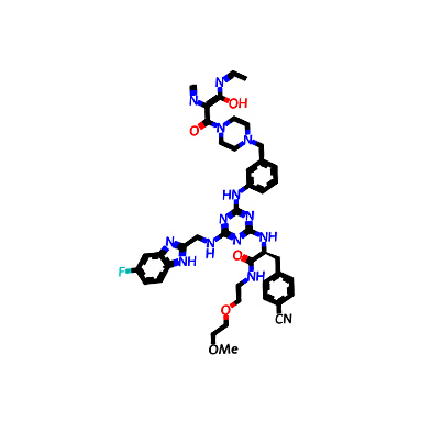 C=N/C(C(=O)N1CCN(Cc2cccc(Nc3nc(NCc4nc5cc(F)ccc5[nH]4)nc(N[C@@H](Cc4ccc(C#N)cc4)C(=O)NCCOCCOC)n3)c2)CC1)=C(O)\N=C/C